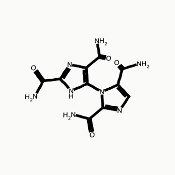 NC(=O)c1nc(C(N)=O)c(-n2c(C(N)=O)cnc2C(N)=O)[nH]1